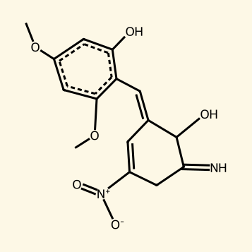 COc1cc(O)c(C=C2C=C([N+](=O)[O-])CC(=N)C2O)c(OC)c1